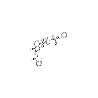 Cc1ccccc1C(=O)OCn1ccc2c(S(=O)(=O)N3CCC(NC(=O)OCc4ccccc4)C34CC4)cccc2c1=O